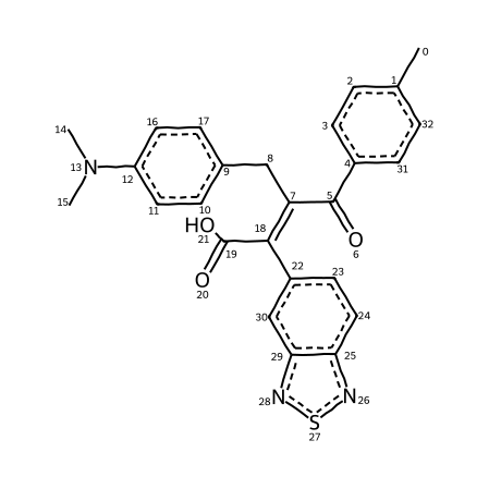 Cc1ccc(C(=O)/C(Cc2ccc(N(C)C)cc2)=C(/C(=O)O)c2ccc3nsnc3c2)cc1